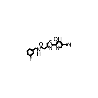 N#Cc1cnc(-c2nc(CC(=O)NCc3cccc(F)c3)cs2)c(O)c1